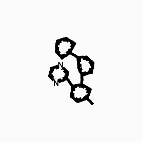 Cc1ccc(-c2cnccn2)c(-c2cccc(-c3ccccc3)c2)c1